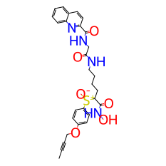 CC#CCOc1ccc([S+]([O-])C(CCCCNC(=O)CNC(=O)c2ccc3ccccc3n2)C(=O)NO)cc1